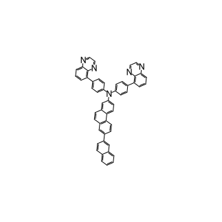 c1ccc2cc(-c3ccc4c(ccc5cc(N(c6ccc(-c7cccc8nccnc78)cc6)c6ccc(-c7cccc8nccnc78)cc6)ccc54)c3)ccc2c1